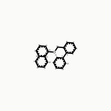 c1ccc(-c2ccccc2COc2cccc3ccccc23)cc1